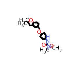 CON(C)C(=O)Nc1ccc(OCc2ccc3c(c2)CC(C)(C)O3)cc1